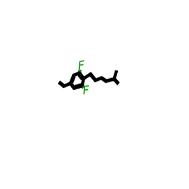 CCc1cc(F)c(CCCCC(C)C)c(F)c1